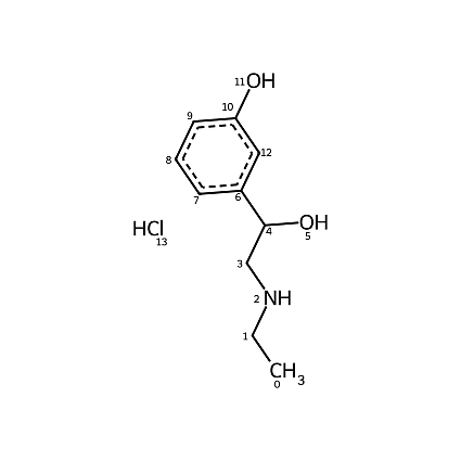 CCNCC(O)c1cccc(O)c1.Cl